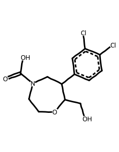 O=C(O)N1CCOC(CO)C(c2ccc(Cl)c(Cl)c2)C1